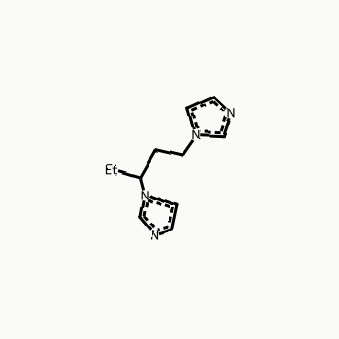 [CH2]CC(CCn1ccnc1)n1ccnc1